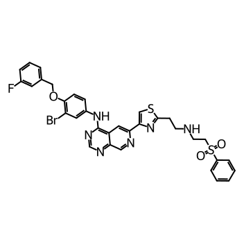 O=S(=O)(CCNCCc1nc(-c2cc3c(Nc4ccc(OCc5cccc(F)c5)c(Br)c4)ncnc3cn2)cs1)c1ccccc1